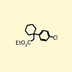 CCOC(=O)CC1(c2ccc(Cl)cc2)CCCCC1